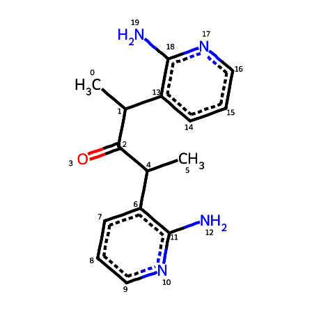 CC(C(=O)C(C)c1cccnc1N)c1cccnc1N